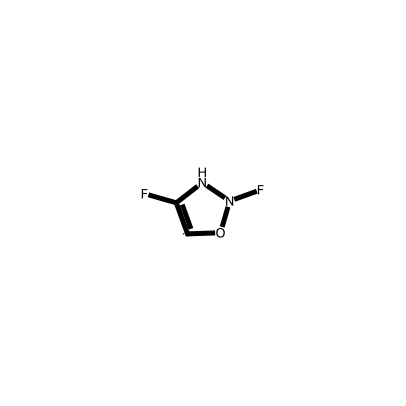 FC1=[C]ON(F)N1